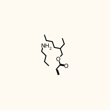 C=CC(=O)OCC(CC)CCCC.CCCCN